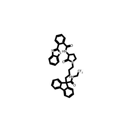 O=C(NC1CCN(CCCCC2(C(=O)NCC(F)(F)F)c3ccccc3-c3ccccc32)C1=O)c1ccccc1-c1nc2ccccc2s1